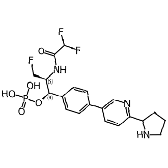 O=C(N[C@H](CF)[C@H](OP(=O)(O)O)c1ccc(-c2ccc(C3CCCN3)nc2)cc1)C(F)F